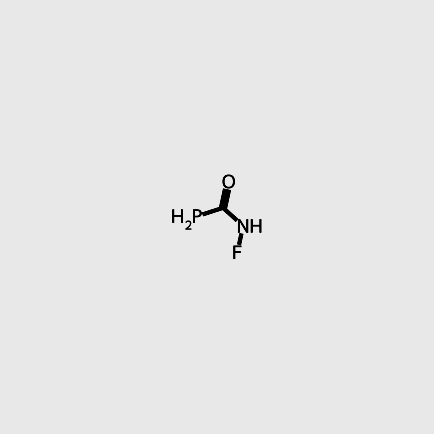 O=C(P)NF